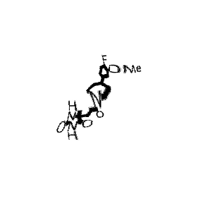 COc1cc(C2CCN(C(=O)CCC3(C)NC(=O)NC3=O)CC2)ccc1F